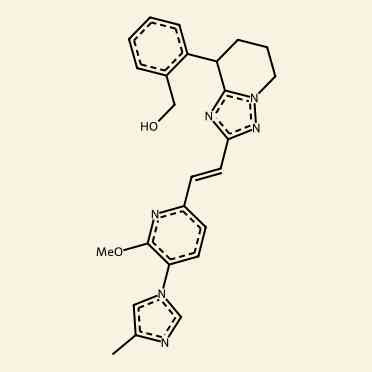 COc1nc(/C=C/c2nc3n(n2)CCCC3c2ccccc2CO)ccc1-n1cnc(C)c1